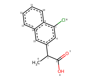 CC(C(=O)O)c1cc(Cl)c2ccccc2c1